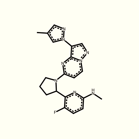 CNc1ccc(F)c(C2CCCN2c2ccn3ncc(-n4cc(C)cn4)c3n2)n1